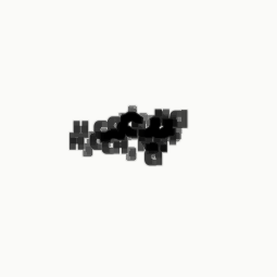 CC(C)(C)C1CC2(CCCN(c3nc(Cl)nc4c(F)c(Cl)ncc34)C2)O1